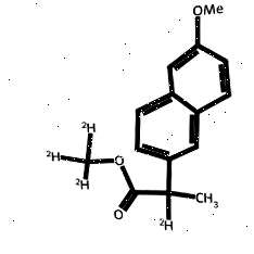 [2H]C([2H])([2H])OC(=O)C([2H])(C)c1ccc2cc(OC)ccc2c1